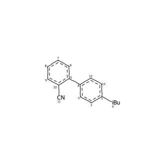 CCC(C)c1ccc(-c2ccccc2C#N)cc1